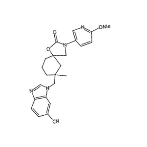 COc1ccc(N2CC3(CCCC(C)(Cn4cnc5ccc(C#N)cc54)C3)OC2=O)cn1